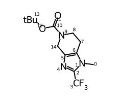 Cn1c(C(F)(F)F)nc2c1CCN(C(=O)OC(C)(C)C)C2